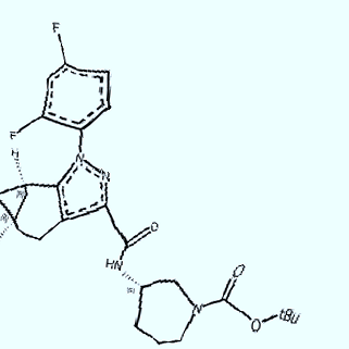 CC(C)(C)OC(=O)N1CCC[C@H](NC(=O)c2nn(-c3ccc(F)cc3F)c3c2C[C@H]2C[C@@H]32)C1